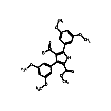 COC(=O)c1[nH]c(-c2cc(OC)cc(OC)c2)c([N+](=O)[O-])c1-c1cc(OC)cc(OC)c1